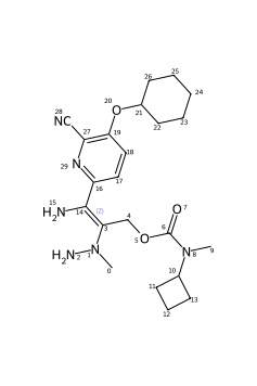 CN(N)/C(COC(=O)N(C)C1CCC1)=C(\N)c1ccc(OC2CCCCC2)c(C#N)n1